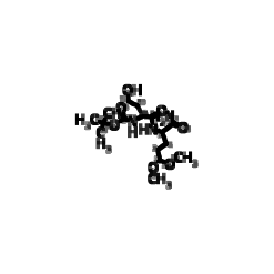 COC(CCC(NC(=O)[C@H](CCO)NC(=O)OC(C)(C)C)C(N)=O)OC